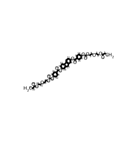 C=CC(=O)OCCOCCOC(=O)Oc1ccc(C(=O)Oc2ccc3c(c2)Cc2cc(OC(=O)c4ccc(OC(=O)OCCOCCOC(=O)C=C)cc4)ccc2-3)cc1